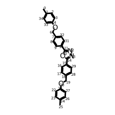 Cc1ccc(OCc2ccc(-c3nnc(-c4ccc(COc5ccc(C)cc5)cc4)o3)cc2)cc1